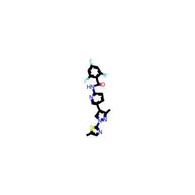 Cc1cnc(-n2cc(-c3ccc(NC(=O)c4c(F)cc(F)cc4F)nc3)c(C)n2)s1